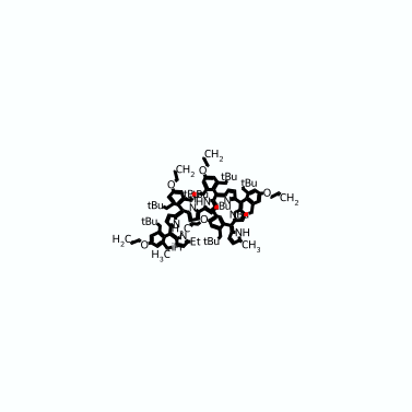 C=CCOc1cc(CC(C)(C)C)c(/C(C2=N/C(=C(\c3ccc(-c4ccc(/C(=C5/C=CC(C(=C6/C=CC(CC)=N6)/c6c(CC(C)(C)C)cc(OCC=C)cc6C(C)C(C)C)=N5)c5c(CC(C)(C)C)cc(OCC=C)cc5CC(C)(C)C)[nH]4)[nH]3)c3c(CC(C)(C)C)cc(OCC=C)cc3CC(C)(C)C)C=C2)=C2\C=CC(C(=C3/C=CC(C)N3)/c3cc(CC(C)(C)C)c(OCC=C)cc3CC(C)(C)C)=N2)c(CC(C)(C)C)c1